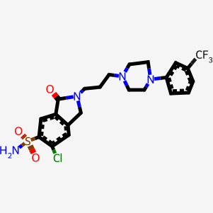 NS(=O)(=O)c1cc2c(cc1Cl)CN(CCCN1CCN(c3cccc(C(F)(F)F)c3)CC1)C2=O